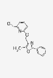 Cc1oc(-c2ccccc2)nc1COc1cccc(CCl)n1